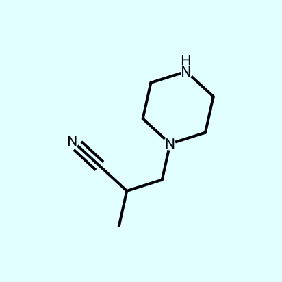 CC(C#N)CN1CCNCC1